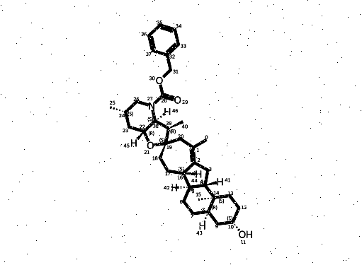 CC1=C2C[C@H]3[C@@H](CC[C@@H]4C[C@@H](O)CC[C@@]43C)[C@@H]2CC[C@@]2(C1)O[C@@H]1C[C@H](C)CN(C(=O)OCc3ccccc3)[C@H]1[C@H]2C